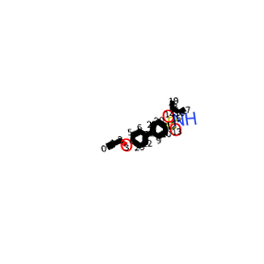 C#CCOc1ccc(-c2ccc(S(=O)(=O)NC(C)CC)cc2)cc1